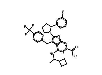 C[C@@H](Nc1nc(C(=O)O)nc2nc(N3CCCC3c3cccc(F)c3)n(Cc3ccc(C(F)(F)F)cc3)c12)C1CCC1